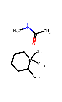 CC1CCCC[Si]1(C)C.CNC(C)=O